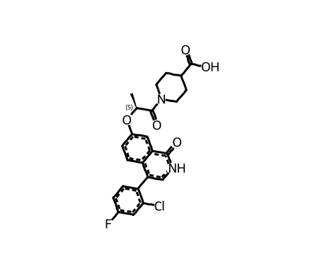 C[C@H](Oc1ccc2c(-c3ccc(F)cc3Cl)c[nH]c(=O)c2c1)C(=O)N1CCC(C(=O)O)CC1